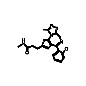 CNC(=O)CCc1cc2c(s1)-n1c(C)nnc1CN=C2c1ccccc1Cl